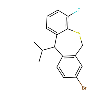 CC(C)C1c2ccc(Br)cc2CSc2c(F)cccc21